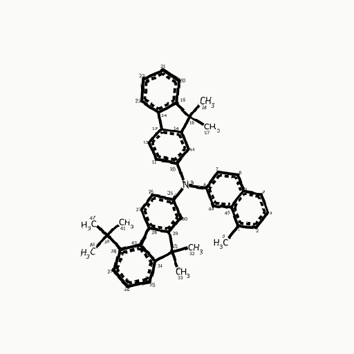 Cc1cccc2ccc(N(c3ccc4c(c3)C(C)(C)c3ccccc3-4)c3ccc4c(c3)C(C)(C)c3cccc(C(C)(C)C)c3-4)cc12